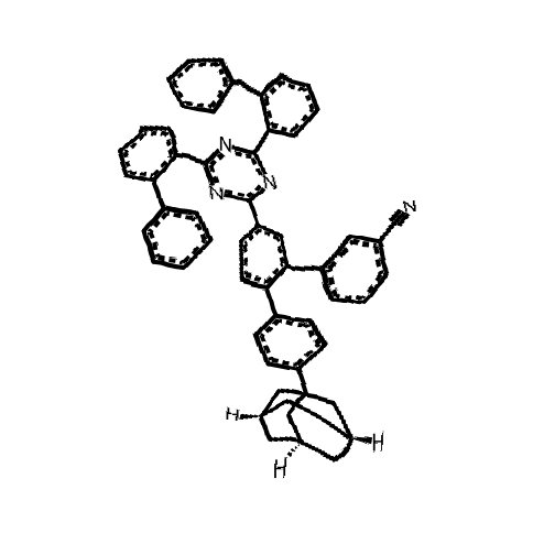 N#Cc1cccc(-c2cc(-c3nc(-c4ccccc4-c4ccccc4)nc(-c4ccccc4-c4ccccc4)n3)ccc2-c2ccc(C34C[C@H]5C[C@@H](C3)C[C@@H](C4)C5)cc2)c1